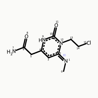 C/N=c1\cc(CC(N)=O)[nH]c(=O)n1CCCl